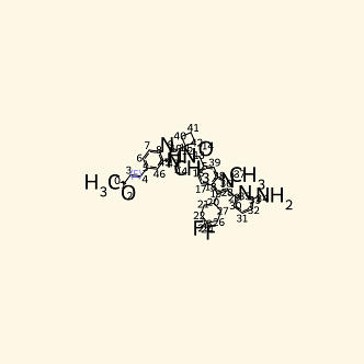 CC(=O)/C=C/c1ccc2nc(C3(NC(=O)c4ccc5c(C6CCC(F)(F)CC6)c(-c6cccc(N)n6)n(C)c5c4)CCC3)n(C)c2c1